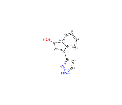 OC1C=C(c2cc[nH]n2)c2ccccc21